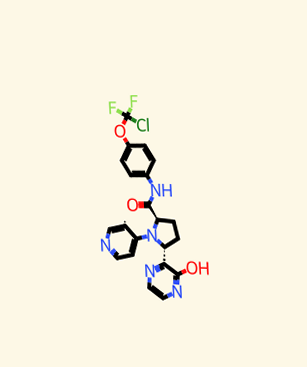 O=C(Nc1ccc(OC(F)(F)Cl)cc1)[C@H]1CC[C@H](c2nccnc2O)N1c1[c]cncc1